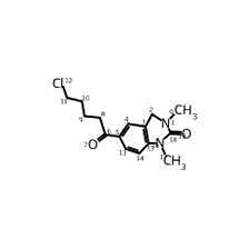 CN1Cc2cc(C(=O)CCCCCl)ccc2N(C)C1=O